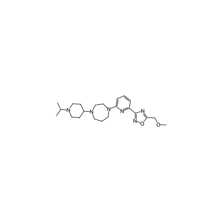 COCc1nc(-c2cccc(N3CCCN(C4CCN(C(C)C)CC4)CC3)n2)no1